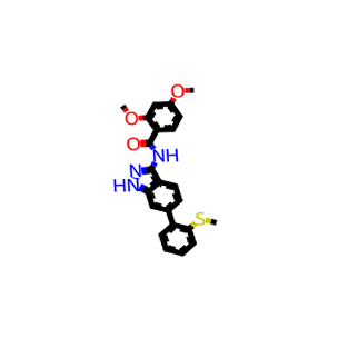 COc1ccc(C(=O)Nc2n[nH]c3cc(-c4ccccc4SC)ccc23)c(OC)c1